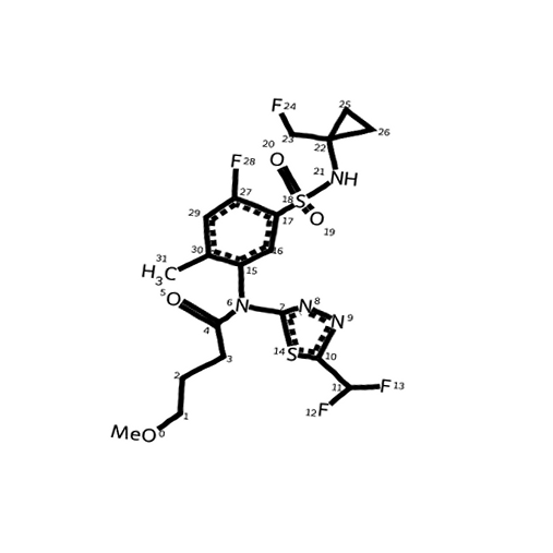 COCCCC(=O)N(c1nnc(C(F)F)s1)c1cc(S(=O)(=O)NC2(CF)CC2)c(F)cc1C